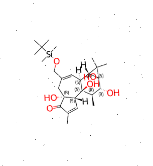 CC1=C[C@H]2[C@@]3(O)[C@H](C)[C@@H](O)[C@]4(O)[C@H]([C@@H]3C=C(CO[Si](C)(C)C(C)(C)C)C[C@]2(O)C1=O)C4(C)C